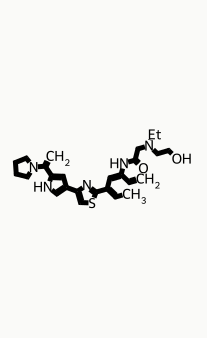 C=C/C(=C\C(=C/C)c1nc(-c2c[nH]c(C(=C)N3CCCC3)c2)cs1)NC(=O)CN(CC)CCO